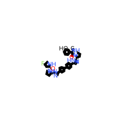 O=C(O)N[C@@H](C(=O)N1CCC[C@H]1c1ncc(-c2ccc(-c3ccc(-c4cnc([C@@H]5CCCN5C(=O)[C@@H]5C[C@H](F)CN5)[nH]4)cc3)cc2)[nH]1)c1ccccc1